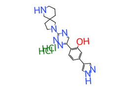 Cl.Cl.Oc1cc(-c2cn[nH]c2)ccc1-c1cnc(N2CCC3(CCCNC3)C2)nn1